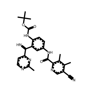 Cc1nccc(C(=N)c2cc(NC(=O)c3ncc(C#N)c(C)c3C)ccc2NC(=O)OC(C)(C)C)n1